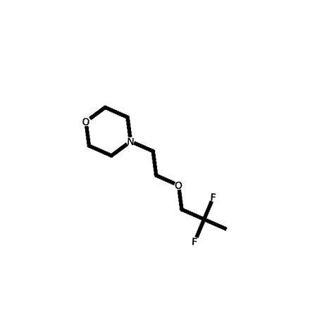 CC(F)(F)COCCN1CCOCC1